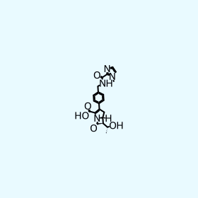 C[C@@H](O)[C@H]1C(=O)N2C(C(=O)O)=C(c3ccc(CNC(=O)c4nccn4C)cc3)C[C@H]12